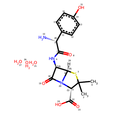 CC1(C)S[C@@H]2[C@H](NC(=O)[C@H](N)c3ccc(O)cc3)C(=O)N2[C@H]1C(=O)O.O.O.O